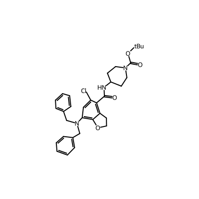 CC(C)(C)OC(=O)N1CCC(NC(=O)c2c(Cl)cc(N(Cc3ccccc3)Cc3ccccc3)c3c2CCO3)CC1